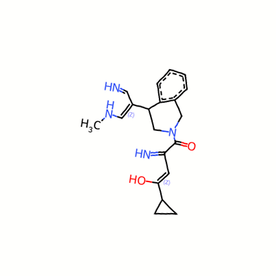 CN/C=C(\C=N)C1CN(C(=O)C(=N)/C=C(\O)C2CC2)Cc2ccccc21